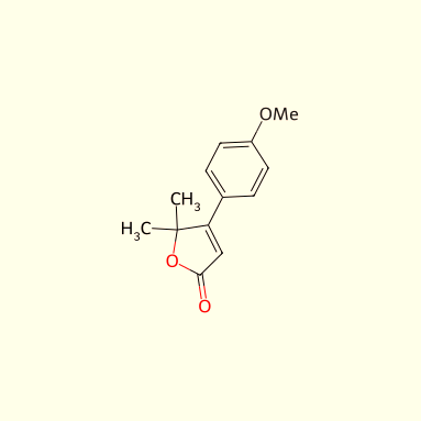 COc1ccc(C2=CC(=O)OC2(C)C)cc1